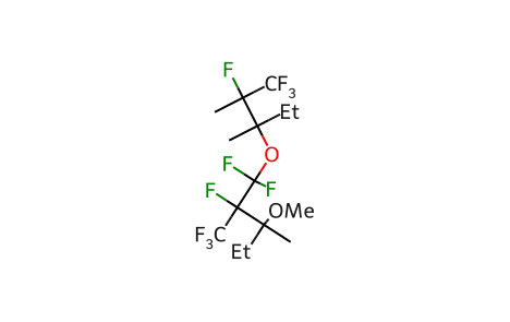 CCC(C)(OC(F)(F)C(F)(C(F)(F)F)C(C)(CC)OC)C(C)(F)C(F)(F)F